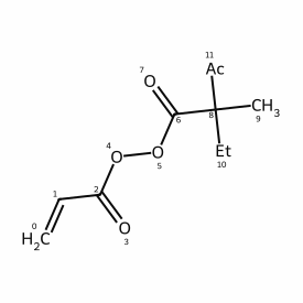 C=CC(=O)OOC(=O)C(C)(CC)C(C)=O